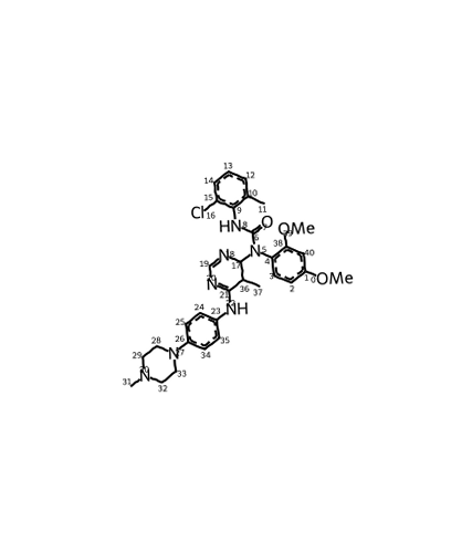 COc1ccc(N(C(=O)Nc2c(C)cccc2Cl)C2N=CN=C(Nc3ccc(N4CCN(C)CC4)cc3)C2C)c(OC)c1